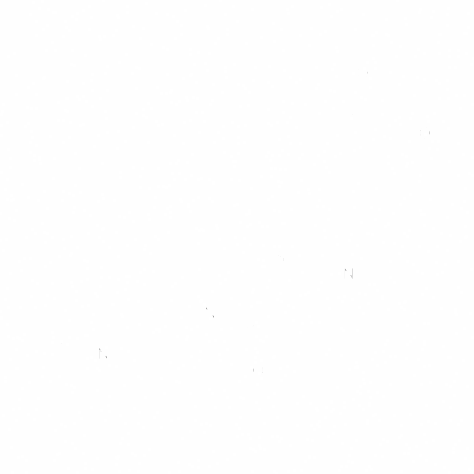 Cc1nc(-c2ccc3c(c2)OCCO3)sc1C(=O)NCCN1CCCC1